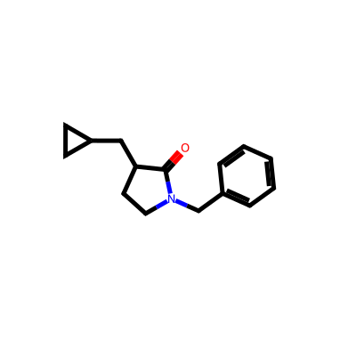 O=C1C(CC2CC2)CCN1Cc1ccccc1